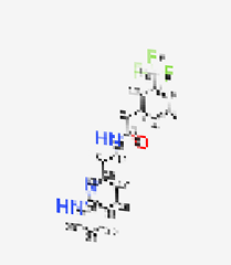 O=C(Cc1cccc(C(F)(F)F)c1)NCCc1ccc2c(n1)NCCC2